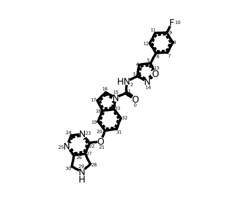 O=C(Nc1cc(-c2ccc(F)cc2)on1)n1ccc2cc(Oc3ncnc4c3CNC4)ccc21